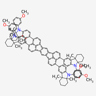 COc1cccc(N2c3ccc(-c4ccc5c6cc7c(cc6c6ccc(-c8ccc9c(c8)C8(C)CCCCC8(C)N9c8cccc(OC)c8)c4c56)c4ccc(-c5ccc6c(c5)C5(C)CCCCC5(C)N6c5cccc(OC)c5)c5c(-c6ccc8c(c6)C6(C)CCCCC6(C)N8c6cccc(OC)c6)ccc7c54)cc3C3(C)CCCCC23C)c1